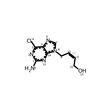 Nc1nc(Cl)c2ncn(C/C=C\CO)c2n1